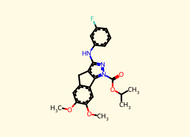 COc1cc2c(cc1OC)-c1c(c(Nc3cccc(F)c3)nn1C(=O)OC(C)C)C2